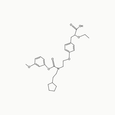 CCOC(Cc1ccc(OCCN(CCC2CCCC2)C(=O)Oc2cccc(OC)c2)cc1)C(=O)O